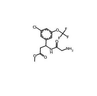 COC(=O)CC(NC(=O)CN)c1cc(Cl)cc(OC(F)(F)F)c1